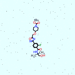 CC(C)(CO)NC(=O)c1ccc(-c2noc(COC3CCN(C(=O)OC(C)(C)C)CC3)n2)cc1F